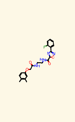 Cc1ccc(OCC(=O)NCCNC(=O)c2nc(-c3ccccc3F)no2)cc1C